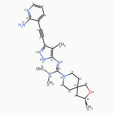 Cc1c(C#Cc2cccnc2N)n[nH]c1/N=C(\N(C)C=O)N1CCC2(CC1)CO[C@@H](C)C2